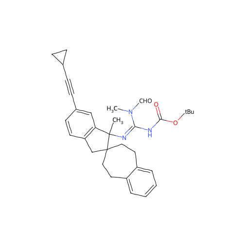 CN(C=O)/C(=N\C1(C)c2cc(C#CC3CC3)ccc2CC12CCc1ccccc1CC2)NC(=O)OC(C)(C)C